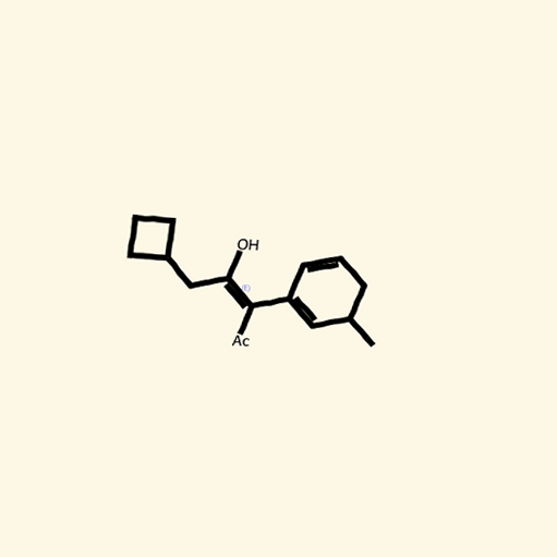 CC(=O)/C(C1=CC(C)CC=C1)=C(/O)CC1CCC1